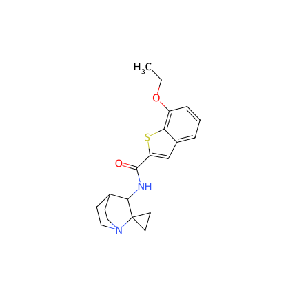 CCOc1cccc2cc(C(=O)NC3C4CCN(CC4)C34CC4)sc12